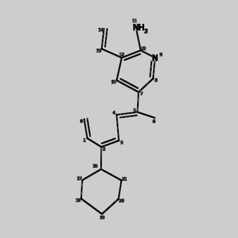 C=C/C(=C\C=C(/C)c1cnc(N)c(C=C)c1)C1CCCCC1